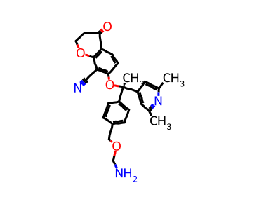 Cc1cc([C@@](C)(Oc2ccc3c(c2C#N)OCCC3=O)c2ccc(COCN)cc2)cc(C)n1